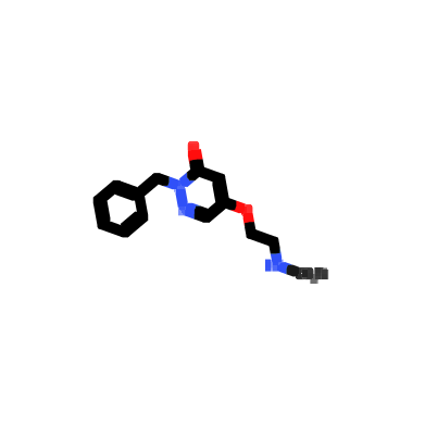 CCOC(=O)NCCOc1cnn(Cc2ccccc2)c(=O)c1